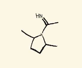 CC(=N)N1C(C)CCC1C